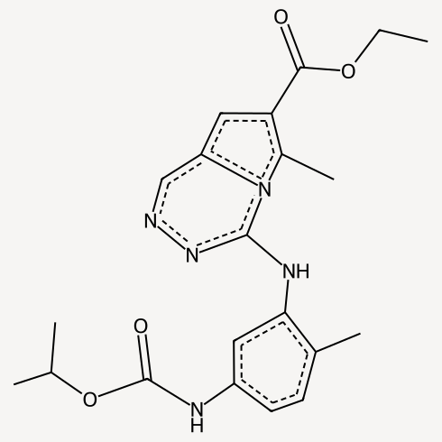 CCOC(=O)c1cc2cnnc(Nc3cc(NC(=O)OC(C)C)ccc3C)n2c1C